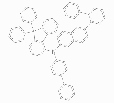 c1ccc(-c2ccc(N(c3ccc4cc(-c5ccccc5-c5ccccc5)ccc4c3)c3cccc4c3-c3ccccc3C4(c3ccccc3)c3ccccc3)cc2)cc1